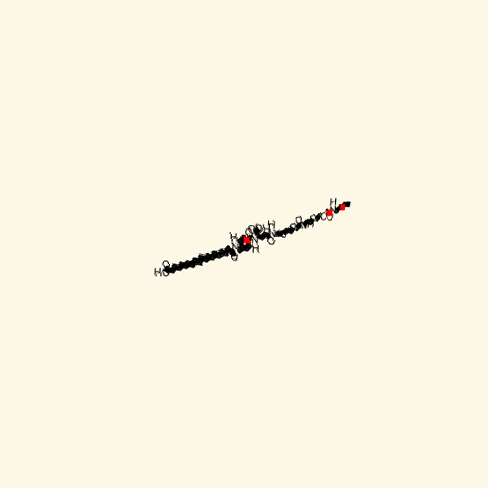 CCCCCNC(=O)COCCOCCNC(=O)COCCOCCNC(=O)CCC(NC(=O)C1CCC(CNC(=O)CCCCCCCCCCCCCCCCCCC(=O)O)CC1)C(=O)O